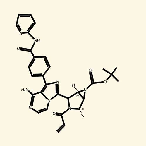 C=CC(=O)N1C(c2nc(-c3ccc(C(=O)Nc4ccccn4)cc3)c3c(N)nccn23)[C@@H]2C([C@@H]1C)N2C(=O)OC(C)(C)C